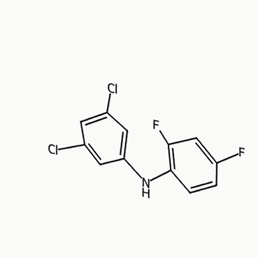 Fc1ccc(Nc2cc(Cl)cc(Cl)c2)c(F)c1